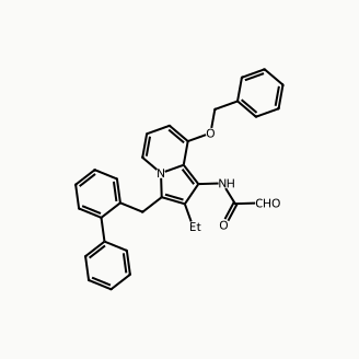 CCc1c(NC(=O)C=O)c2c(OCc3ccccc3)cccn2c1Cc1ccccc1-c1ccccc1